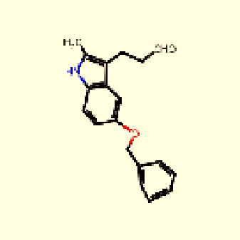 Cc1[nH]c2ccc(OCc3ccccc3)cc2c1CCC=O